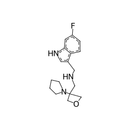 Fc1ccc2c(CNCC3(N4CCCC4)COC3)c[nH]c2c1